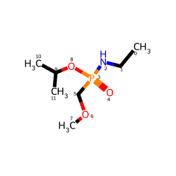 CCNP(=O)(COC)OC(C)C